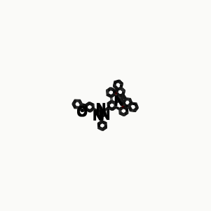 c1ccc(-c2nc(-c3cc(-c4ccccc4)c(-n4c5cc6ccccc6cc5c5cc6ccccc6cc54)c(-c4ccccc4)c3)nc(-c3ccc4c(c3)oc3ccccc34)n2)cc1